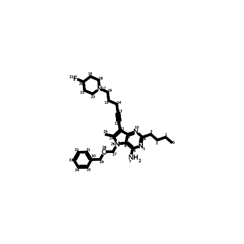 CCCCc1nc(N)c2c(n1)c(C#CCCCN1CCC(F)CC1)c(C)n2COCc1ccccc1